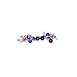 COC(=O)N[C@H](C(=O)N1CCC[C@H]1c1ncc(-c2ccc(-c3ccc4nc([C@@H]5CCCN5C(=O)[C@@H](c5ccccc5)N(C)C)[nH]c4c3)cc2)[nH]1)C(C)C